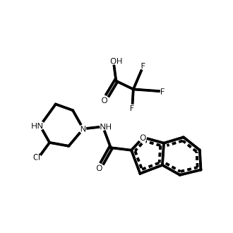 O=C(NN1CCNC(Cl)C1)c1cc2ccccc2o1.O=C(O)C(F)(F)F